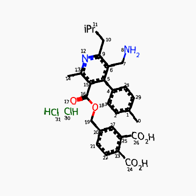 Cc1ccc(-c2c(CN)c(CC(C)C)nc(C)c2C(=O)OCc2ccc(C(=O)O)c(C(=O)O)c2)cc1.Cl.Cl